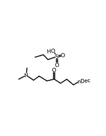 CCCCCCCCCCCCCC(=O)CCCN(C)C.CCCS(=O)(=O)O